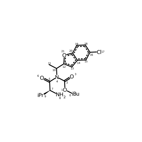 CCC(C)OC(=O)N(C(=O)[C@@H](N)C(C)C)C(C)c1cc2cc(Cl)ccc2o1